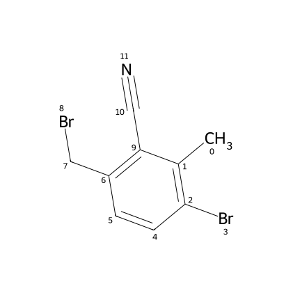 Cc1c(Br)ccc(CBr)c1C#N